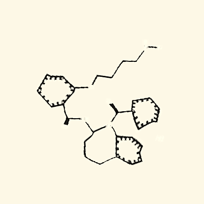 CC(C)NCCCCOc1ccccc1C(=O)NC1CCCc2ccccc2N1C(=O)c1ccccc1.Cl